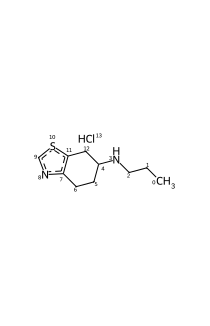 CCCNC1CCc2ncsc2C1.Cl